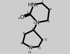 O=C1NCCCN1C1CC[N]CC1